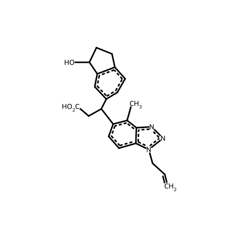 C=CCn1nnc2c(C)c(C(CC(=O)O)c3ccc4c(c3)C(O)CC4)ccc21